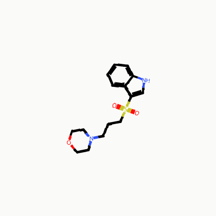 O=S(=O)(CCCN1CCOCC1)c1c[nH]c2ccccc12